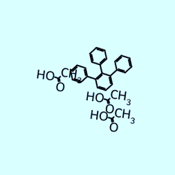 CC(=O)O.CC(=O)O.CC(=O)O.c1ccc(-c2cccc(-c3ccccc3)c2-c2ccccc2)cc1